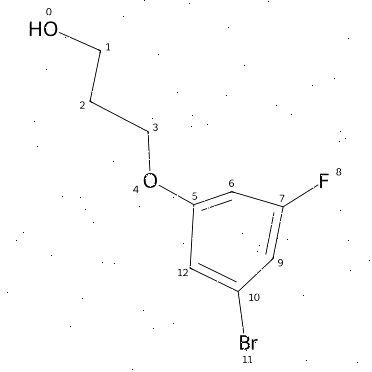 OCCCOc1cc(F)cc(Br)c1